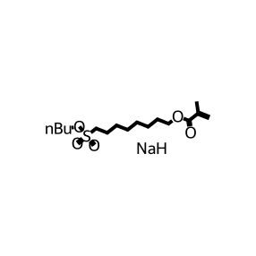 C=C(C)C(=O)OCCCCCCCCS(=O)(=O)OCCCC.[NaH]